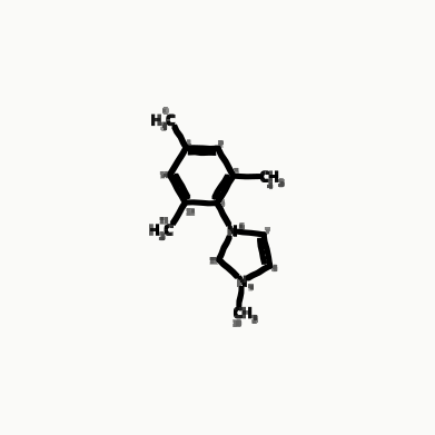 Cc1cc(C)c(N2C=CN(C)C2)c(C)c1